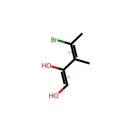 C/C(Br)=C(C)/C(O)=C/O